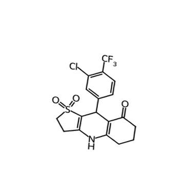 O=C1CCCC2=C1C(c1ccc(C(F)(F)F)c(Cl)c1)C1=C(CCS1(=O)=O)N2